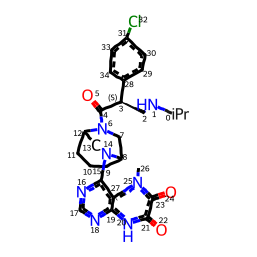 CC(C)NC[C@@H](C(=O)N1CC2CCCC1CN2c1ncnc2[nH]c(=O)c(=O)n(C)c12)c1ccc(Cl)cc1